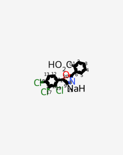 O=C(O)c1ccccc1-c1ncc(-c2ccc(Cl)c(Cl)c2Cl)o1.[NaH]